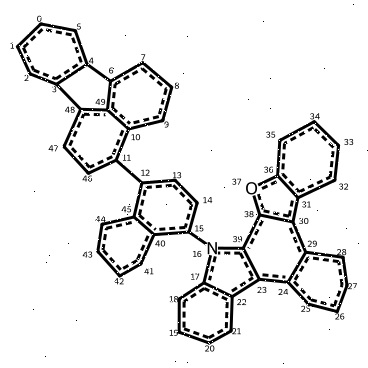 c1ccc2c(c1)-c1cccc3c(-c4ccc(-n5c6ccccc6c6c7ccccc7c7c8ccccc8oc7c65)c5ccccc45)ccc-2c13